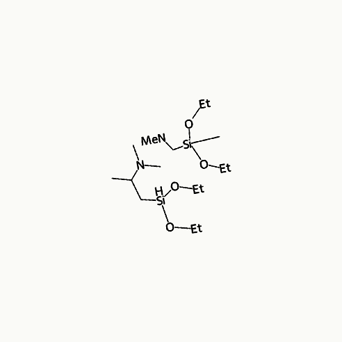 CCO[SiH](CC(C)N(C)C)OCC.CCO[Si](C)(CNC)OCC